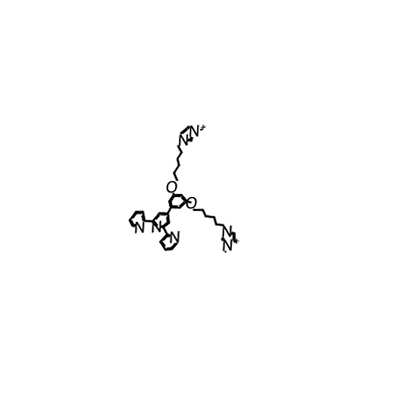 C[n+]1ccn(CCCCCCOc2cc(OCCCCCCn3cc[n+](C)c3)cc(-c3cc(-c4ccccn4)nc(-c4ccccn4)c3)c2)c1